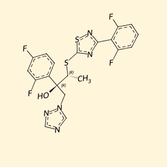 C[C@@H](Sc1nc(-c2c(F)cccc2F)ns1)[C@](O)(Cn1cncn1)c1ccc(F)cc1F